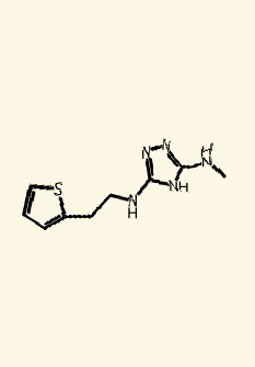 CNc1nnc(NCCc2cccs2)[nH]1